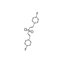 O=S(=O)(C=Cc1ccc(F)cc1)C=Cc1ccc(F)cc1